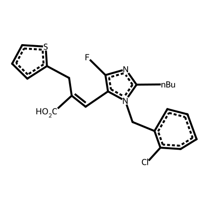 CCCCc1nc(F)c(C=C(Cc2cccs2)C(=O)O)n1Cc1ccccc1Cl